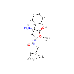 CCOC(=O)CC(C)C/[N+]([O-])=C/CC(N)(C(=O)OC(C)(C)C)C1CCCCC1